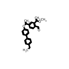 C=C(Oc1ccc(-c2ccc(CC)cc2)cc1)c1ccc(C=O)c(C(=C)OC)c1